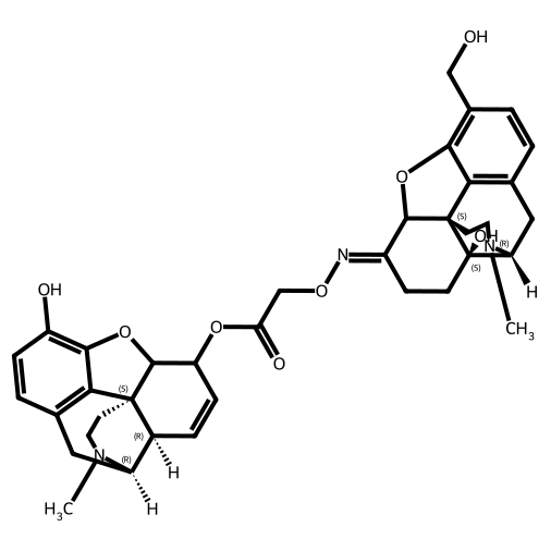 CN1CC[C@]23c4c5ccc(O)c4OC2C(OC(=O)CON=C2CC[C@@]4(O)[C@H]6Cc7ccc(CO)c8c7[C@@]4(CCN6C)C2O8)C=C[C@H]3[C@H]1C5